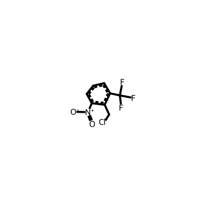 O=[N+]([O-])c1cccc(C(F)(F)F)c1CCl